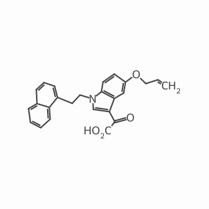 C=CCOc1ccc2c(c1)c(C(=O)C(=O)O)cn2CCc1cccc2ccccc12